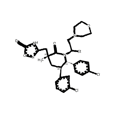 CCC(CN1CCOCC1)N1C(=O)[C@@](C)(Cc2noc(=O)[nH]2)C[C@H](c2cccc(Cl)c2)[C@H]1c1ccc(Cl)cc1